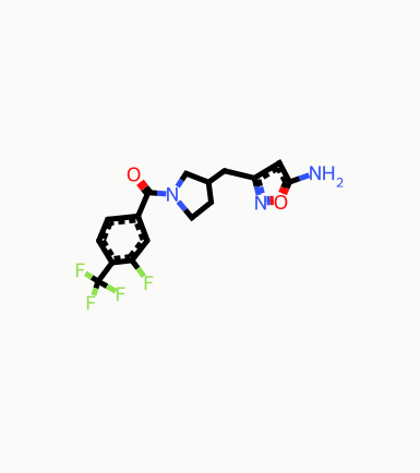 Nc1cc(CC2CCN(C(=O)c3ccc(C(F)(F)F)c(F)c3)C2)no1